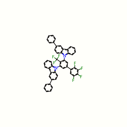 Fc1cc(-c2cc(-n3c4ccccc4c4cc(-c5ccccc5)ccc43)c(C(F)(F)F)c(-n3c4ccccc4c4cc(-c5ccccc5)ccc43)c2)c(F)c(F)c1F